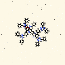 N#Cc1cc(-n2c3ccc(-c4nc(-c5ccccc5)nc(-c5ccccc5)n4)cc3c3cc(-c4nc(-c5ccccc5)nc(-c5ccccc5)n4)ccc32)c(-c2cc(-c3ccccc3)nc(-c3ccccc3)c2)cc1-n1c2ccc(-c3nc(-c4ccccc4)nc(-c4ccccc4)n3)cc2c2cc(-c3nc(-c4ccccc4)nc(-c4ccccc4)n3)ccc21